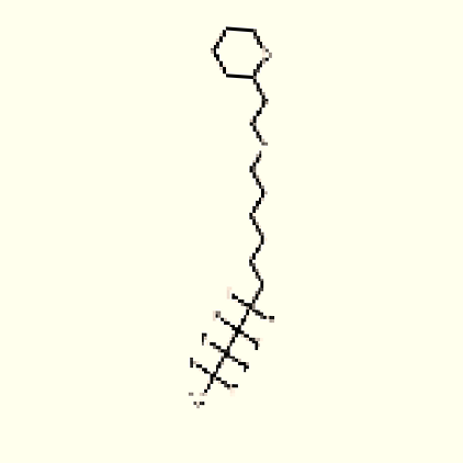 FC(F)(F)C(F)(F)C(F)(F)C(F)(F)C(F)(F)CCCCCCOCCC1CCCCO1